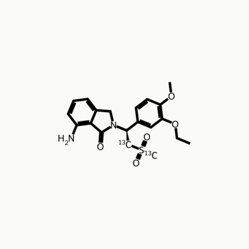 CCOc1cc([C@@H]([13CH2]S([13CH3])(=O)=O)N2Cc3cccc(N)c3C2=O)ccc1OC